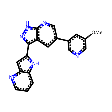 COc1cncc(-c2cnc3[nH]nc(-c4cc5ncccc5[nH]4)c3c2)c1